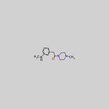 CBc1cccc(CC(=O)N2CCN(C)CC2)c1